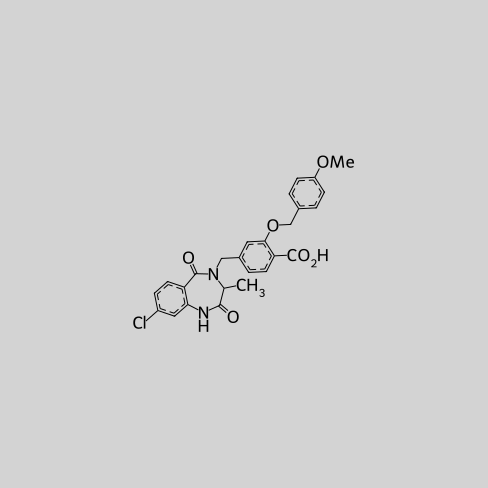 COc1ccc(COc2cc(CN3C(=O)c4ccc(Cl)cc4NC(=O)C3C)ccc2C(=O)O)cc1